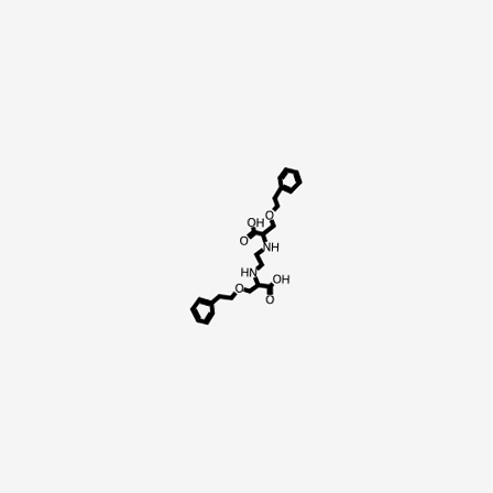 O=C(O)C(COCCc1ccccc1)NCCNC(COCCc1ccccc1)C(=O)O